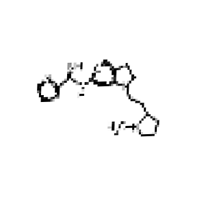 CN1CCCC1CCN1CCc2ccc(NC(=N)c3cccs3)cc21